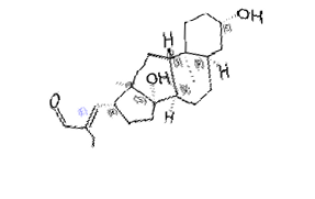 C/C(C=O)=C\[C@H]1CC[C@]2(O)[C@@H]3CC[C@@H]4C[C@@H](O)CC[C@]4(C)[C@H]3CC[C@]12C